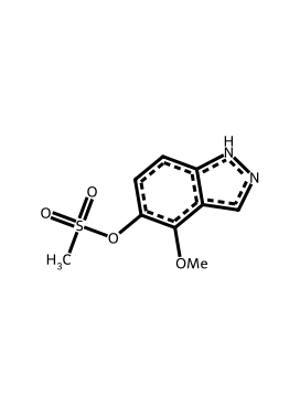 COc1c(OS(C)(=O)=O)ccc2[nH]ncc12